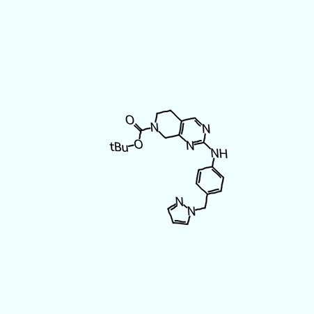 CC(C)(C)OC(=O)N1CCc2cnc(Nc3ccc(Cn4cccn4)cc3)nc2C1